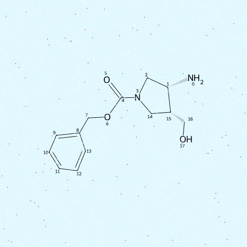 N[C@H]1CN(C(=O)OCc2ccccc2)C[C@H]1CO